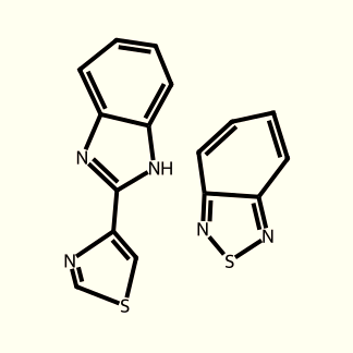 c1ccc2[nH]c(-c3cscn3)nc2c1.c1ccc2nsnc2c1